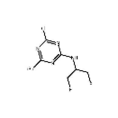 CCCCc1nc(Cl)nc(NC(CF)CF)n1